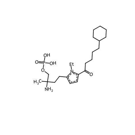 CCn1c(CCC(C)(N)COP(=O)(O)O)ccc1C(=O)CCCCC1CCCCC1